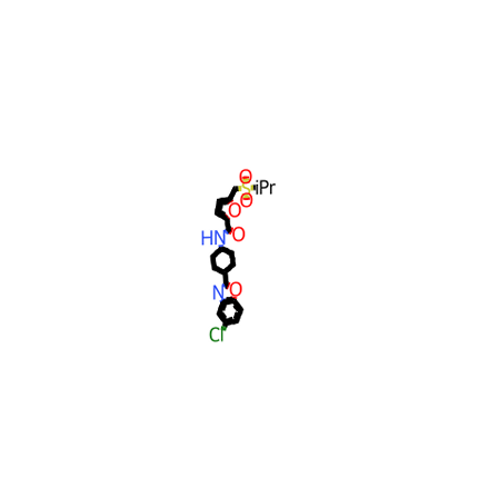 CC(C)S(=O)(=O)Cc1ccc(C(=O)NC2CCC(c3nc4cc(Cl)ccc4o3)CC2)o1